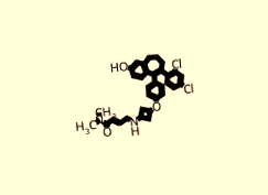 CN(C)C(=O)/C=C/CNC1CC(Oc2ccc(C3=C(c4ccc(Cl)cc4Cl)CCCc4cc(O)ccc43)cc2)C1